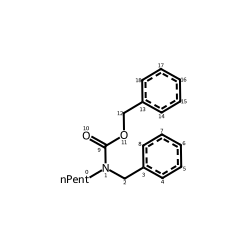 CCCCCN(Cc1ccccc1)C(=O)OCc1ccccc1